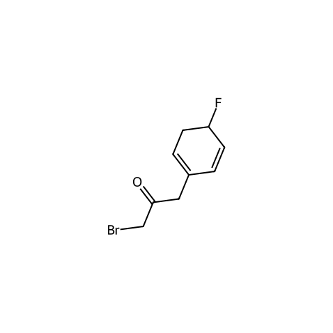 O=C(CBr)CC1=CCC(F)C=C1